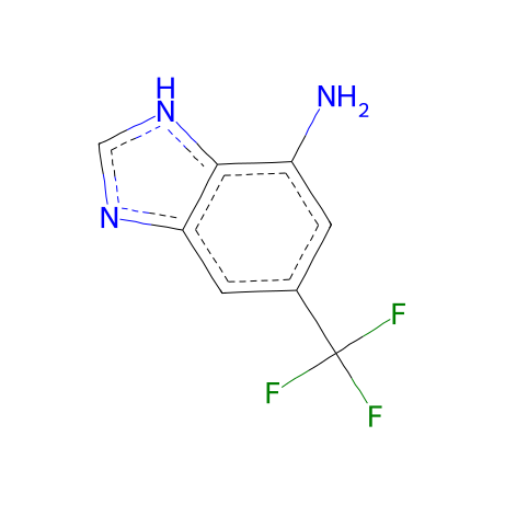 Nc1cc(C(F)(F)F)cc2nc[nH]c12